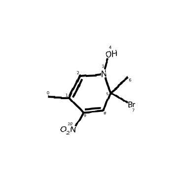 CC1=CN(O)C(C)(Br)C=C1[N+](=O)[O-]